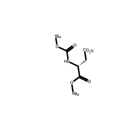 CCCCOC(=O)[C@@H](CC(=O)O)NC(=O)OC(C)(C)C